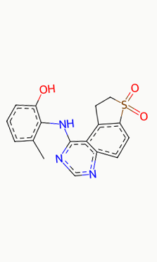 Cc1cccc(O)c1Nc1ncnc2ccc3c(c12)CCS3(=O)=O